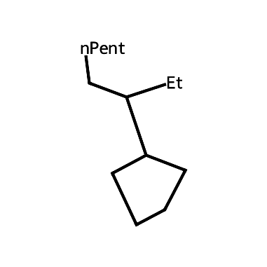 [CH2]CC(CCCCCC)C1CCCC1